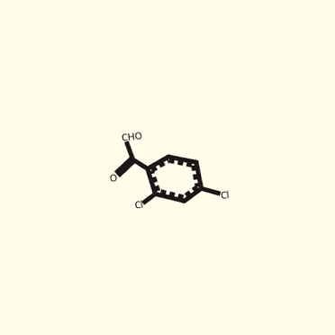 O=CC(=O)c1ccc(Cl)cc1Cl